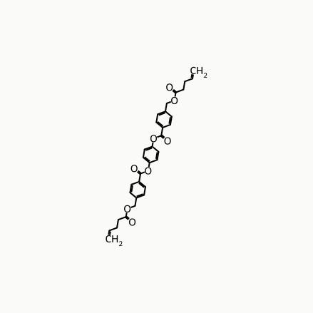 C=CCCC(=O)OCc1ccc(C(=O)Oc2ccc(OC(=O)c3ccc(COC(=O)CCC=C)cc3)cc2)cc1